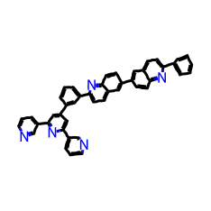 c1ccc(-c2ccc3cc(-c4ccc5nc(-c6cccc(-c7cc(-c8cccnc8)nc(-c8cccnc8)c7)c6)ccc5c4)ccc3n2)cc1